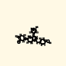 COc1ccc(Cn2nc(-c3cnn(C)c3)c3nc(N4CCN(C)C(=O)C4)ccc32)cc1